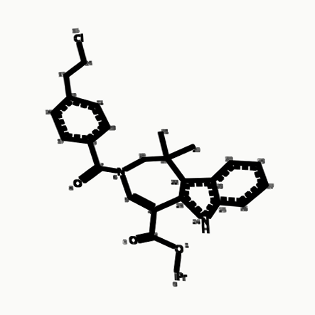 CC(C)OC(=O)C1=CN(C(=O)c2ccc(CCCl)cc2)CC(C)(C)c2c1[nH]c1ccccc21